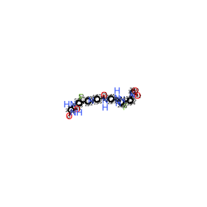 O=C1CCC(Nc2ccc(C3CCN([C@H]4CC[C@H](C(=O)NC5CCC(Nc6ncc(F)c(-c7cccc(N8CCOC8=O)c7)n6)CC5)CC4)CC3)c(F)c2)C(=O)N1